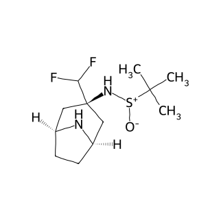 CC(C)(C)[S+]([O-])N[C@@]1(C(F)F)C[C@H]2CC[C@@H](C1)N2